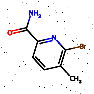 Cc1ccc(C(N)=O)nc1Br